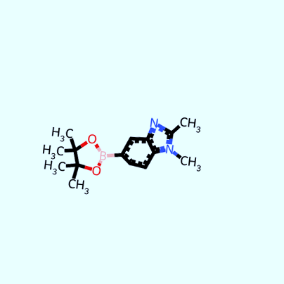 Cc1nc2cc(B3OC(C)(C)C(C)(C)O3)ccc2n1C